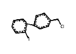 ClCc1ccc(-c2ccccc2I)cc1